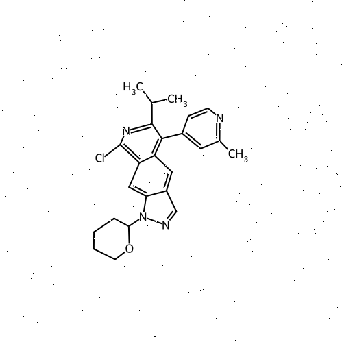 Cc1cc(-c2c(C(C)C)nc(Cl)c3cc4c(cnn4C4CCCCO4)cc23)ccn1